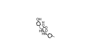 Cc1ccc(NC(=O)N[C@@H](Cc2ccc(O)cc2)C(=O)O)cc1